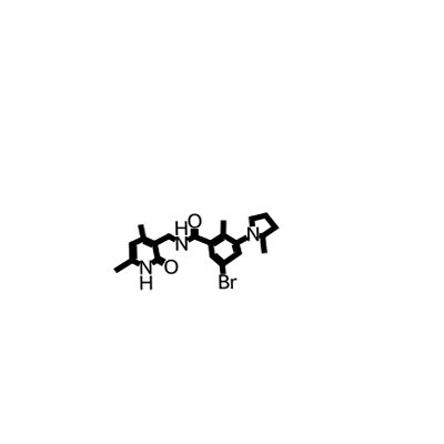 Cc1cc(C)c(CNC(=O)c2cc(Br)cc(N3CCCC3C)c2C)c(=O)[nH]1